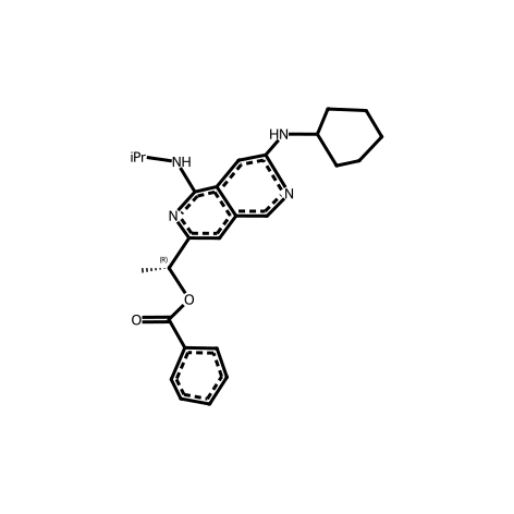 CC(C)Nc1nc([C@@H](C)OC(=O)c2ccccc2)cc2cnc(NC3CCCCC3)cc12